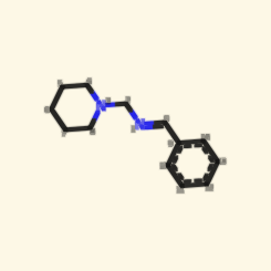 C(=NCN1CCCCC1)c1ccccc1